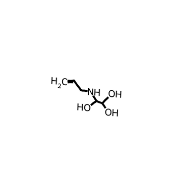 C=CCNC(O)C(O)O